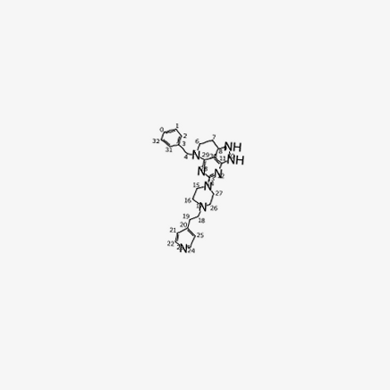 c1ccc(CN2CCC3NNc4nc(N5CCN(CCc6ccncc6)CC5)nc2c43)cc1